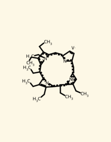 CCC1=C(CC)c2nc1c(CC)c1[nH]c(cc3nc(cc4c(CC)c(CC)c(c2CC)n4CC)C=C3)cc1CC.[V]